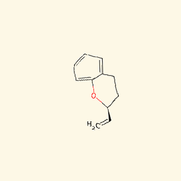 C=C[C@@H]1CCc2ccccc2O1